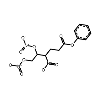 O=C(CCC(C(CO[N+](=O)[O-])O[N+](=O)[O-])[N+](=O)[O-])Oc1ccccc1